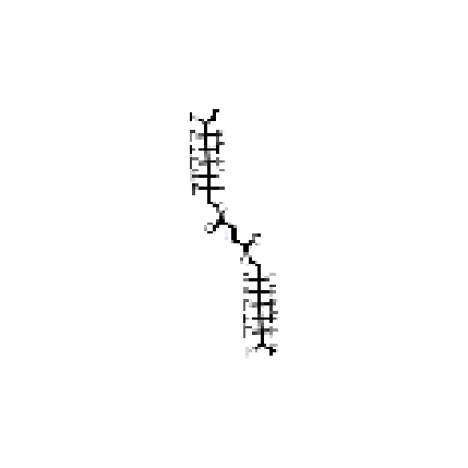 O=C(/C=C/C(=O)OCC(F)(F)C(F)(F)C(F)(F)C(F)(F)C(F)(F)C(F)F)OCC(F)(F)C(F)(F)C(F)(F)C(F)(F)C(F)(F)C(F)F